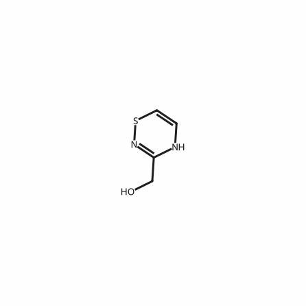 OCC1=NSC=CN1